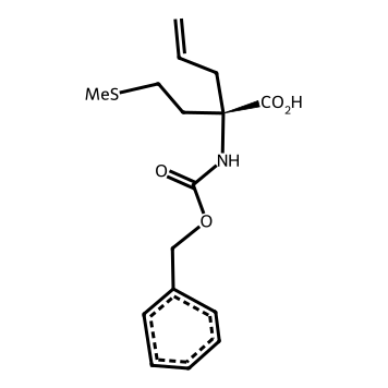 C=CC[C@@](CCSC)(NC(=O)OCc1ccccc1)C(=O)O